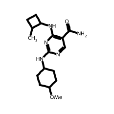 COC1CCC(Nc2ncc(C(N)=O)c(NC3CCC3C)n2)CC1